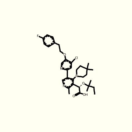 CCC(C)(C)O[C@H](C(=O)O)c1c(C)ncc(-c2cc(Cl)c(OCCc3ccc(F)cc3)cn2)c1N1CCC(C)(C)CC1